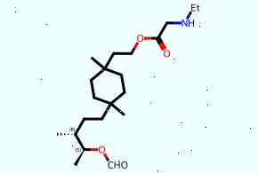 CCNCC(=O)OCCC1(C)CCC(C)(CC[C@@H](C)[C@H](C)OC=O)CC1